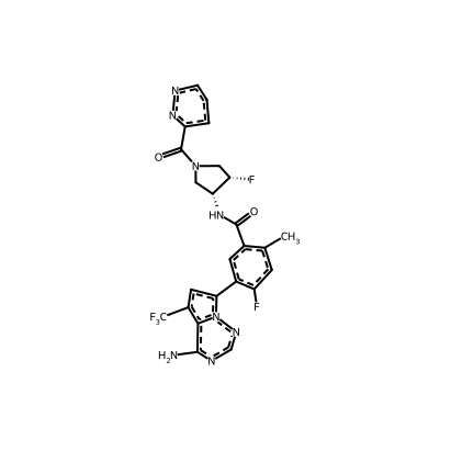 Cc1cc(F)c(-c2cc(C(F)(F)F)c3c(N)ncnn23)cc1C(=O)N[C@@H]1CN(C(=O)c2cccnn2)C[C@@H]1F